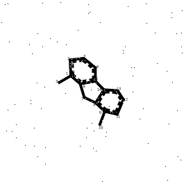 Cc1cccc2c1Cc1c(C)cccc1-2